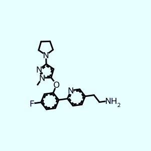 Cn1nc(N2CCCC2)cc1Oc1cc(F)ccc1-c1ccc(CCN)cn1